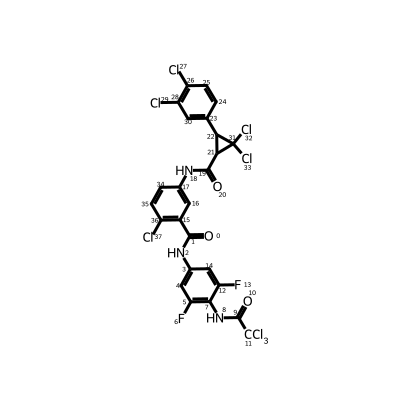 O=C(Nc1cc(F)c(NC(=O)C(Cl)(Cl)Cl)c(F)c1)c1cc(NC(=O)C2C(c3ccc(Cl)c(Cl)c3)C2(Cl)Cl)ccc1Cl